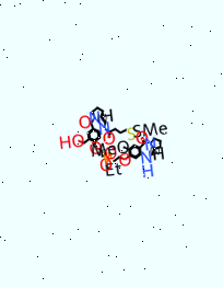 CCOP(=O)(CCOc1cc2c(cc1CO)C(=O)N1CCC[C@H]1CN2C(=O)CCCSSC)CCOc1cc2c(cc1OC)C(=O)N1CCC[C@H]1CN2